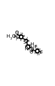 CN1Cc2cc(-c3ccc(-c4cncc(NC(=O)c5ccc(F)cc5F)c4)s3)ccc2C1=O